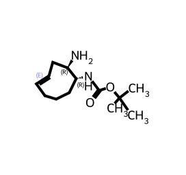 CC(C)(C)OC(=O)N[C@@H]1CCC/C=C/C[C@H]1N